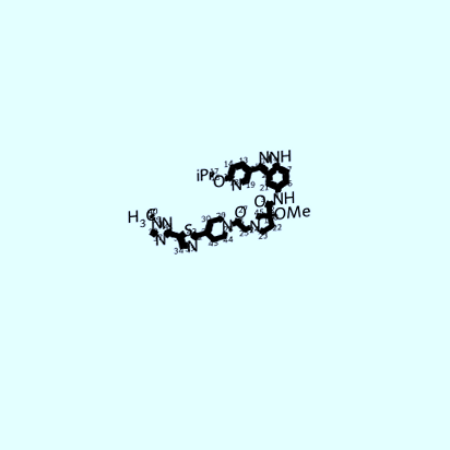 CO[C@@]1(C(=O)Nc2ccc3[nH]nc(-c4ccc(OC(C)C)nc4)c3c2)CCN(CC(=O)N2CC=C(c3ncc(-c4ncn(C)n4)s3)CC2)C1